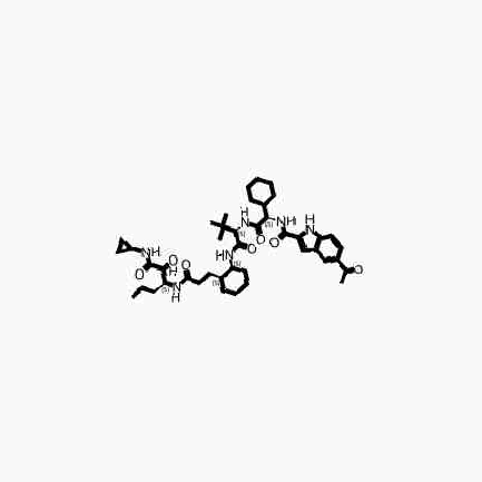 CCC[C@H](NC(=O)CC[C@@H]1CCCC[C@@H]1NC(=O)[C@@H](NC(=O)[C@@H](NC(=O)c1cc2cc(C(C)=O)ccc2[nH]1)C1CCCCC1)C(C)(C)C)C(O)C(=O)NC1CC1